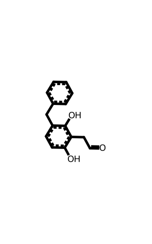 O=CCc1c(O)ccc(Cc2ccccc2)c1O